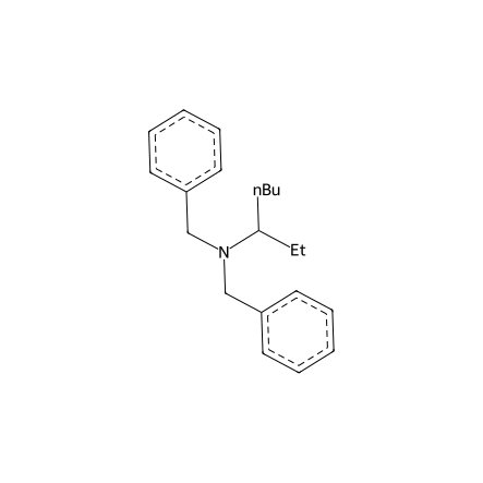 CCCCC(CC)N(Cc1ccccc1)Cc1ccccc1